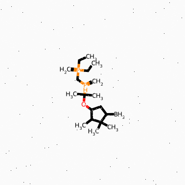 BC1CC(OC(C)(C)[PH](=C)CP(=C)(CC)CC)C(C)C1(C)C